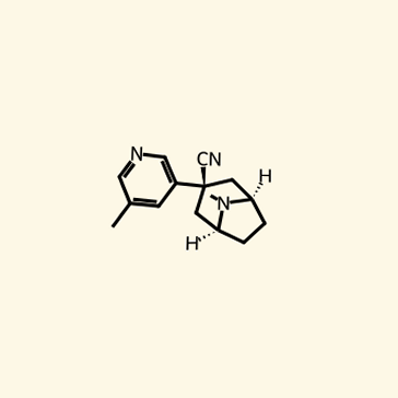 Cc1cncc([C@]2(C#N)C[C@H]3CC[C@@H](C2)N3C)c1